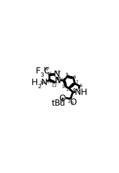 CC(C)(C)OC(=O)C1NCc2ccc(-n3cc(N)c(C(F)(F)F)n3)cc21